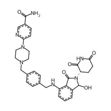 NC(=O)c1ccc(N2CCN(Cc3ccc(CNc4cccc5c4C(=O)N([C@H]4CCC(=O)NC4=O)C5O)cc3)CC2)nc1